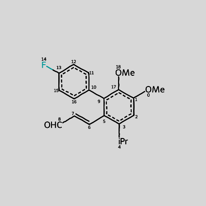 COc1cc(C(C)C)c(C=CC=O)c(-c2ccc(F)cc2)c1OC